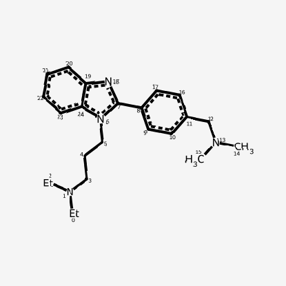 CCN(CC)CCCn1c(-c2ccc(CN(C)C)cc2)nc2ccccc21